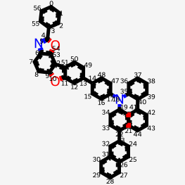 c1ccc(-c2nc3ccc4oc5cc(-c6ccc(N(c7ccc(-c8ccc9ccccc9c8)cc7)c7ccccc7-c7ccccc7)cc6)ccc5c4c3o2)cc1